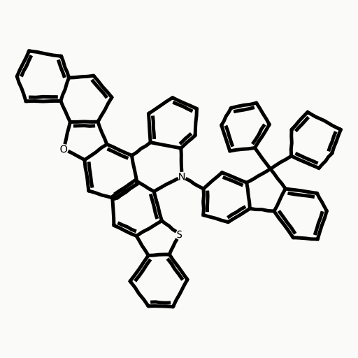 c1ccc(C2(c3ccccc3)c3ccccc3-c3ccc(N(c4ccccc4-c4cccc5oc6c7ccccc7ccc6c45)c4cccc5c4sc4ccccc45)cc32)cc1